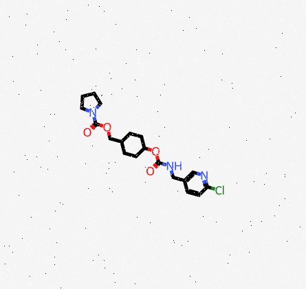 O=C(NCc1ccc(Cl)nc1)OC1CCC(COC(=O)N2CCCC2)CC1